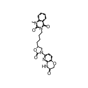 Cn1c(=O)n(CCCCC2CN(c3ccc4c(n3)NC(=O)CO4)C(=O)O2)c(=O)c2ccccc21